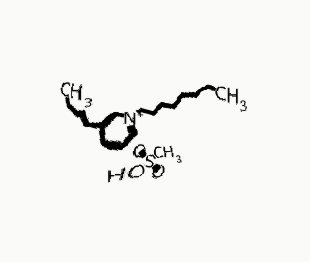 CCCCCCCC[n+]1cccc(CCCC)c1.CS(=O)(=O)O